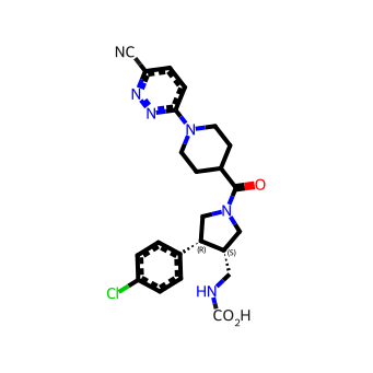 N#Cc1ccc(N2CCC(C(=O)N3C[C@H](CNC(=O)O)[C@H](c4ccc(Cl)cc4)C3)CC2)nn1